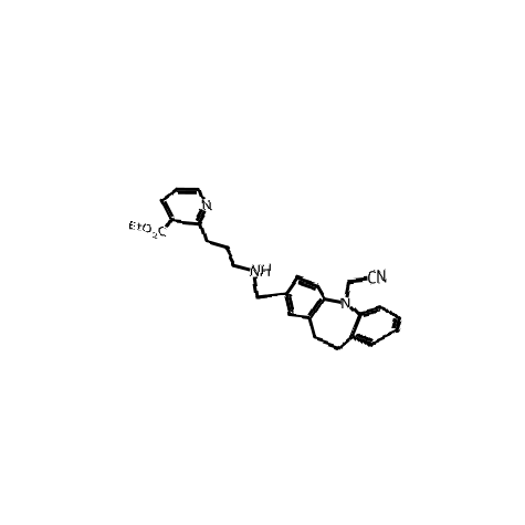 CCOC(=O)c1cccnc1CCCNCc1ccc2c(c1)CCc1ccccc1N2CC#N